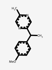 COc1ccc(C(C)c2cnc(C)cn2)cc1